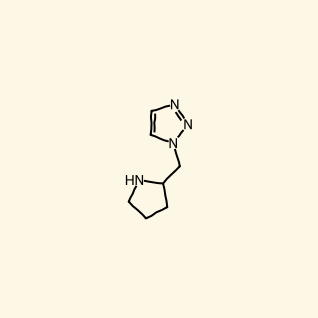 c1cn(CC2CCCN2)nn1